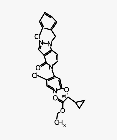 CCOC(=O)[C@H](Oc1cc(-n2ccc3c(cnn3Cc3ccccc3Cl)c2=O)c(Cl)cn1)C1CC1